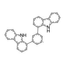 [c]1cc(-c2cccc3c2[nH]c2ccccc23)cc(-c2cccc3c2[nH]c2ccccc23)c1